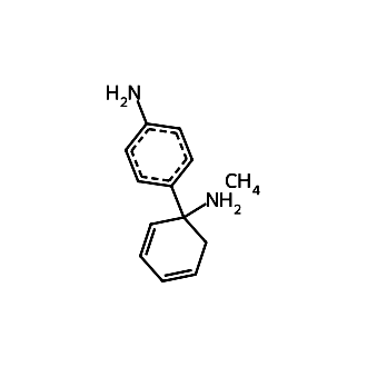 C.Nc1ccc(C2(N)C=CC=CC2)cc1